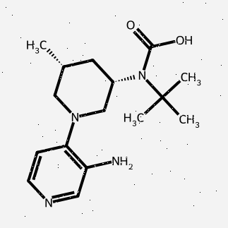 C[C@@H]1C[C@H](N(C(=O)O)C(C)(C)C)CN(c2ccncc2N)C1